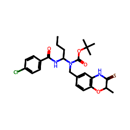 CCCC(NC(=O)c1ccc(Cl)cc1)N(Cc1ccc2c(c1)NC(=S)C(C)O2)C(=O)OC(C)(C)C